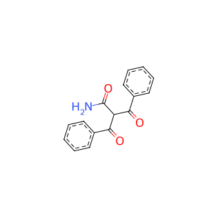 NC(=O)C(C(=O)c1ccccc1)C(=O)c1ccccc1